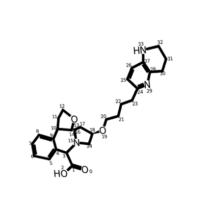 O=C(O)C(c1ccccc1C1CCOC1)N1CC[C@@H](OCCCCc2ccc3c(n2)CCCN3)C1